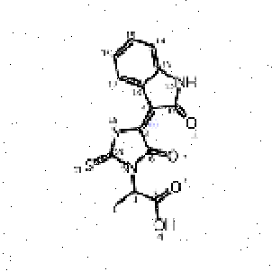 CC(C(=O)O)N1C(=O)/C(=C2\C(=O)Nc3ccccc32)SC1=S